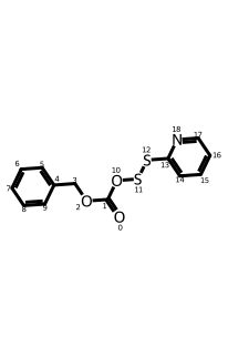 O=C(OCc1ccccc1)OSSc1ccccn1